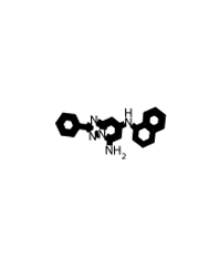 Nc1cc(NC2CCCc3ccccc32)cc2nc(-c3ccccc3)nn12